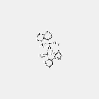 CC(C)(COC(C)(C)c1cccc2ccccc12)c1ccccc1-n1cncn1